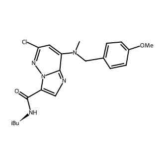 CC[C@H](C)NC(=O)c1cnc2c(N(C)Cc3ccc(OC)cc3)cc(Cl)nn12